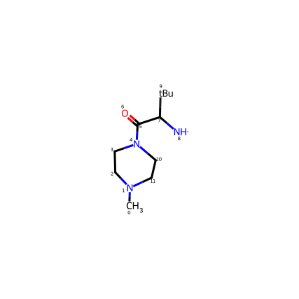 CN1CCN(C(=O)C([NH])C(C)(C)C)CC1